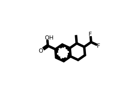 CC1c2cc(C(=O)O)ccc2CCC1C(F)F